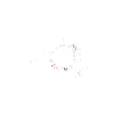 COCCOCCOC1C[C@@H]2CC[C@@H](C)[C@@](O)(O2)C(=O)C(=O)N2CCCC[C@H]2C(=O)O[C@H]([C@H](C)C[C@@H]2CC[C@@H](OC)[C@H](OC)C2)CC(=O)[C@H](C)/C=C(\C)[C@@H](OC)[C@@H](OC)C(=O)[C@H](C)C[C@H](C)/C=C/C=C/C=C/1C